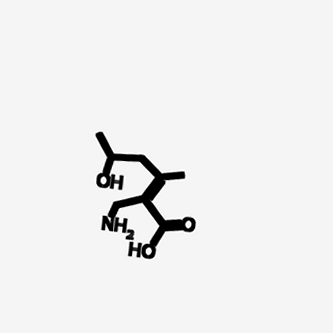 CC(CC(C)O)=C(CN)C(=O)O